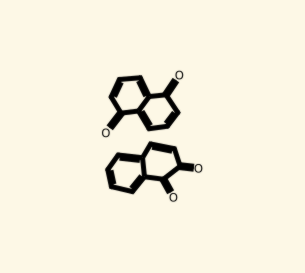 O=C1C=CC=C2C(=O)C=CC=C12.O=C1C=Cc2ccccc2C1=O